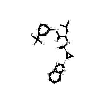 CC(C)C[C@@H](NC(=O)[C@H]1C[C@@H]1c1nc2ccccc2[nH]1)C(=O)Nc1cccc(C(F)(F)F)c1